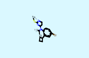 CSc1nccc(N(c2ccc(Br)cc2C2CCC2)C(C)C)n1